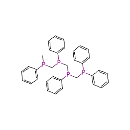 CP(CP(CP(CP(c1ccccc1)c1ccccc1)c1ccccc1)c1ccccc1)c1ccccc1